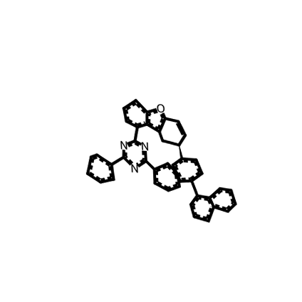 C1=C[C@@H](c2ccc(-c3cccc4ccccc34)cc2)Cc2c1oc1cccc(-c3nc(-c4ccccc4)nc(-c4ccccc4)n3)c21